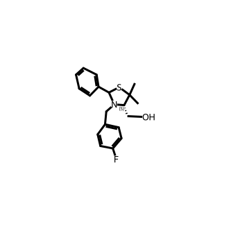 CC1(C)SC(c2ccccc2)N(Cc2ccc(F)cc2)[C@H]1CO